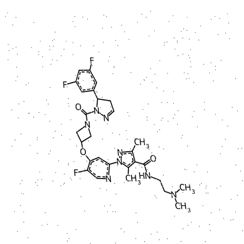 Cc1nn(-c2cc(OC3CN(C(=O)N4N=CCC4c4cc(F)cc(F)c4)C3)c(F)cn2)c(C)c1C(=O)NCCN(C)C